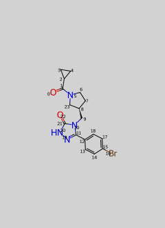 O=C(C1CC1)N1CC[C@@H](Cn2c(-c3ccc(Br)cc3)n[nH]c2=O)C1